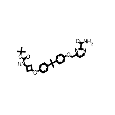 CC(C)(C)OC(=O)NC1CC(Oc2ccc(C(C)(C)c3ccc(OCc4ccnc(C(N)=O)n4)cc3)cc2)C1